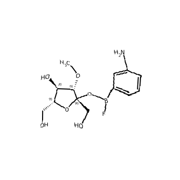 CO[C@H]1[C@H](O)[C@@H](CO)O[C@@]1(CO)OB(F)c1cccc(N)c1